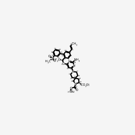 C/C=C/c1ccc([C@@H](Oc2cc(N3CCC4(CC3)C[C@@H](C(=O)OCC)N(C(=O)OC(C)(C)C)C4)nc(N)n2)C(F)(F)F)c(-c2cccc(S(C)(=O)=O)c2)c1